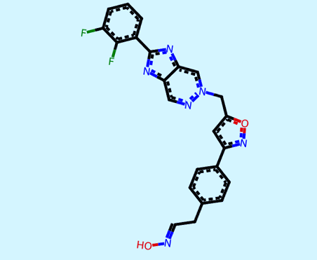 ON=CCc1ccc(-c2cc(Cn3cc4nc(-c5cccc(F)c5F)nc-4cn3)on2)cc1